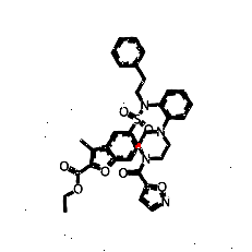 CCOC(=O)c1oc2ccc(S(=O)(=O)N(CCc3ccccc3)c3ccccc3N3CCN(C(=O)c4ccno4)CC3)cc2c1C